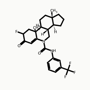 C[C@@]12CCC[C@H]1[C@@H]1CN(C(=O)Nc3cccc(C(F)(F)F)c3)C3=CC(=O)C(F)C[C@]3(C)[C@H]1CC2